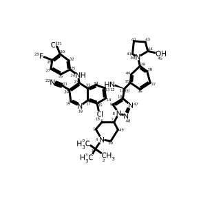 CC(C)(C)N1CCC(n2cc([C@@H](Nc3cc(Cl)c4ncc(C#N)c(Nc5ccc(F)c(Cl)c5)c4c3)c3cccc(N4CCCC4O)c3)nn2)CC1